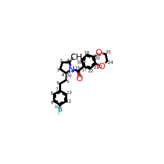 C[C@@H]1CC[C@H](CCc2ccc(F)cc2)N1C(=O)c1ccc2c(c1)OCCO2